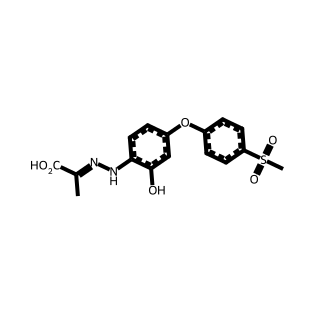 CC(=NNc1ccc(Oc2ccc(S(C)(=O)=O)cc2)cc1O)C(=O)O